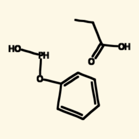 CCC(=O)O.OPOc1ccccc1